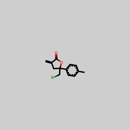 C=C1CC(CBr)(c2ccc(C)cc2)OC1=O